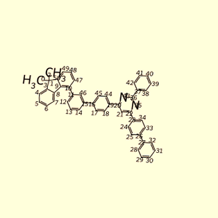 CC1(C)c2ccccc2-c2c(-c3cccc(-c4ccc(-c5cc(-c6ccc(-c7ccccc7)cc6)nc(-c6ccccc6)n5)cc4)c3)cccc21